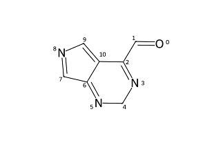 O=CC1=NCN=C2C=NC=C12